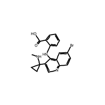 CNC1(c2cnc3ccc(Br)cc3c2Nc2ccccc2C(=O)O)CC1